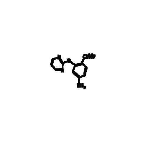 COc1ccc(N)cc1Oc1ncccn1